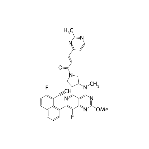 C#Cc1c(F)ccc2cccc(-c3ncc4c(N(C)C5CCN(C(=O)/C=C/c6ccnc(C)n6)C5)nc(OC)nc4c3F)c12